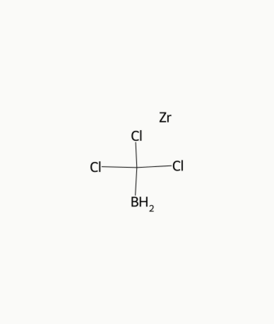 BC(Cl)(Cl)Cl.[Zr]